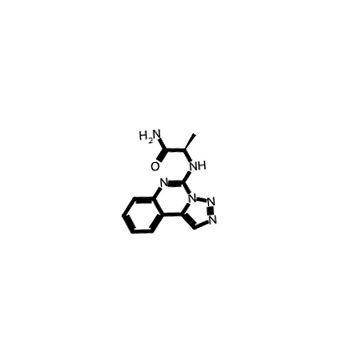 C[C@@H](Nc1nc2ccccc2c2cnnn12)C(N)=O